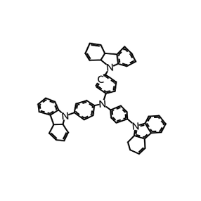 C1=CC2c3ccccc3N(c3ccc(N(c4ccc(N5c6ccccc6C6C=CC=CC65)cc4)c4ccc(-n5c6c(c7ccccc75)C=CCC6)cc4)cc3)C2C=C1